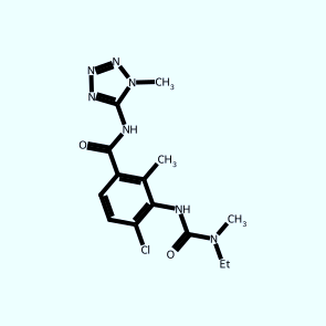 CCN(C)C(=O)Nc1c(Cl)ccc(C(=O)Nc2nnnn2C)c1C